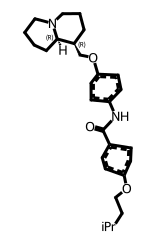 CC(C)CCOc1ccc(C(=O)Nc2ccc(OC[C@@H]3CCCN4CCCC[C@H]34)cc2)cc1